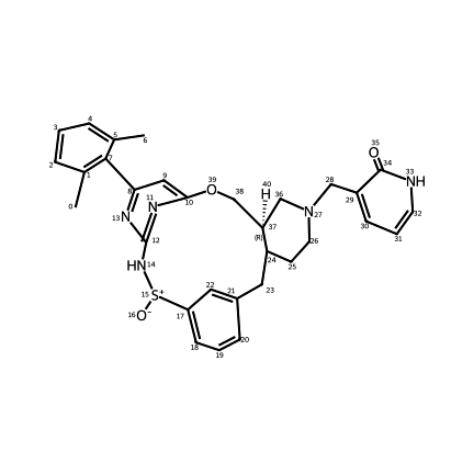 Cc1cccc(C)c1-c1cc2nc(n1)N[S+]([O-])c1cccc(c1)CC1CCN(Cc3ccc[nH]c3=O)C[C@@H]1CO2